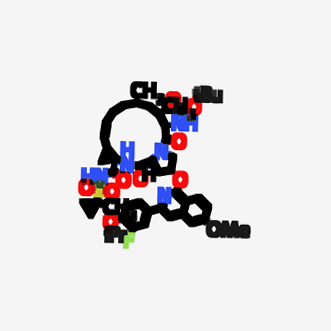 COc1ccc2c(O[C@@H]3C[C@H]4C(=O)N[C@]5(C(=O)NS(=O)(=O)C6(C)CC6)CC5/C=C\CC[C@H](C)C[C@@H](C)[C@H](NC(=O)OC(C)(C)C)C(=O)N4C3)nc(-c3ccc(OC(C)C)c(F)c3)cc2c1